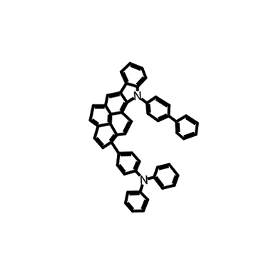 c1ccc(-c2ccc(-n3c4ccccc4c4cc5ccc6ccc(-c7ccc(N(c8ccccc8)c8ccccc8)cc7)c7ccc(c5c67)c43)cc2)cc1